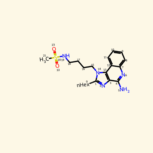 CCCCCCc1nc2c(N)nc3ccccc3c2n1CCCCNS(C)(=O)=O